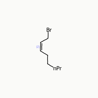 CCCCC/C=C\CBr